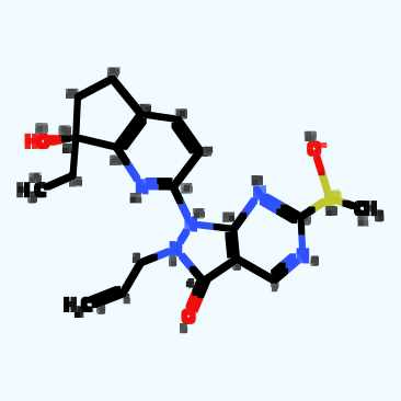 C=CCn1c(=O)c2cnc([S+](C)[O-])nc2n1-c1ccc2c(n1)[C@](O)(CC)CC2